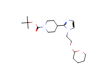 CC(C)(C)OC(=O)N1CCC(c2nccn2CCOC2CCCCO2)CC1